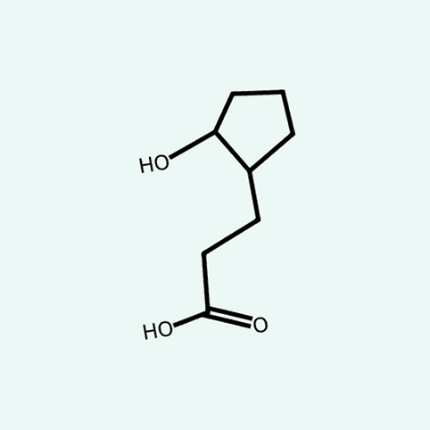 O=C(O)CCC1CCCC1O